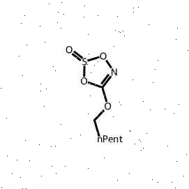 CCCCCCOC1=NOS(=O)O1